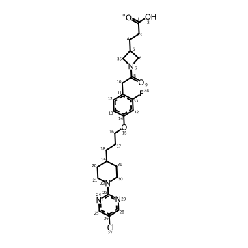 O=C(O)CCC1CN(C(=O)Cc2ccc(OCCCC3CCN(c4ncc(Cl)cn4)CC3)cc2F)C1